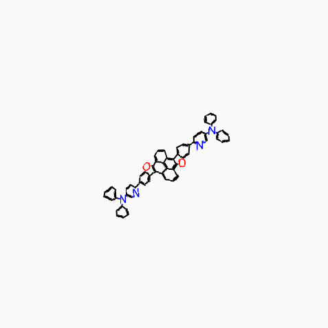 c1ccc(N(c2ccccc2)c2ccc(-c3ccc4c(c3)oc3c5cccc6c7c8ccc(-c9ccc(N(c%10ccccc%10)c%10ccccc%10)cn9)cc8oc7c7cccc(c43)c7c56)nc2)cc1